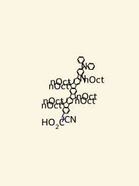 CCCCCCCCn1c2cc(N(c3ccccc3)c3ccccc3)ccc2c2cc3c(cc21)-c1cc2c(cc1C3(CCCCCCCC)CCCCCCCC)-c1cc3c(cc1C2(CCCCCCCC)CCCCCCCC)-c1ccc(/C=C(\C#N)C(=O)O)cc1C3(CCCCCCCC)CCCCCCCC